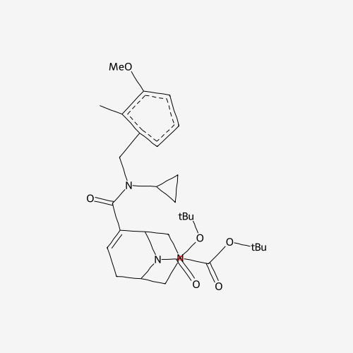 COc1cccc(CN(C(=O)C2=CCC3CN(C(=O)OC(C)(C)C)CC2N3C(=O)OC(C)(C)C)C2CC2)c1C